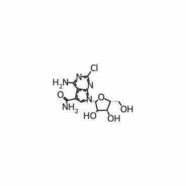 NC(=O)c1cn([C@@H]2O[C@H](CO)[C@@H](O)[C@H]2O)c2nc(Cl)nc(N)c12